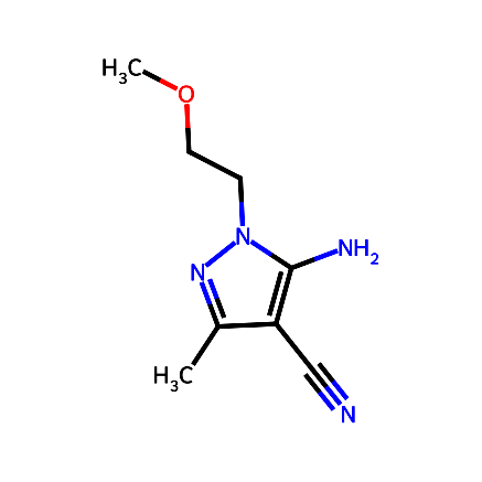 COCCn1nc(C)c(C#N)c1N